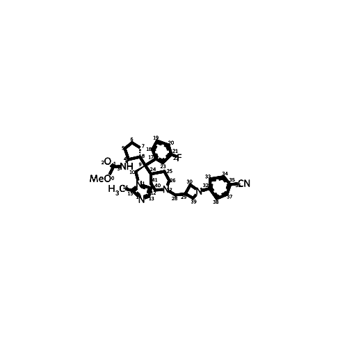 COC(=O)N[C@H]1CCC[C@@H]1[C@](Cn1ccnc1C)(c1cccc(F)c1)C1CCN(CC2CN(c3ccc(C#N)cc3)C2)CC1